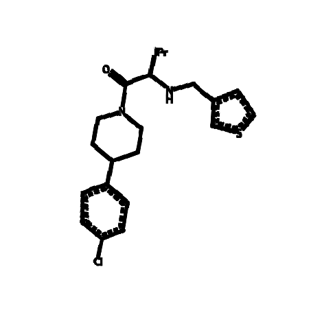 CC(C)C(NCc1ccsc1)C(=O)N1CCC(c2ccc(Cl)cc2)CC1